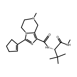 CNC(=O)[C@@H](NC(=O)c1nc(C2=CCCC2)n2c1CN(C)CC2)C(C)(C)C